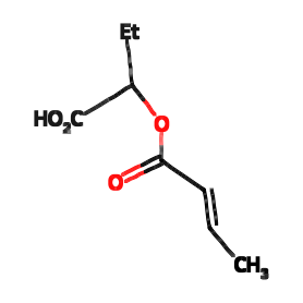 CC=CC(=O)OC(CC)C(=O)O